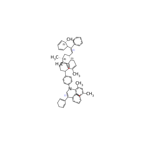 CC1=CC[C@@H](C(/C=C(/c2ccccc2)C2C=CC=C[C@@H]2C)C[C@@H](C)C2=CCC(c3ccc(N(/C=C(/C4=CCCC=C4)c4ccccc4)c4ccc(C)cc4C)cc3)C=C2)C(C)=C1